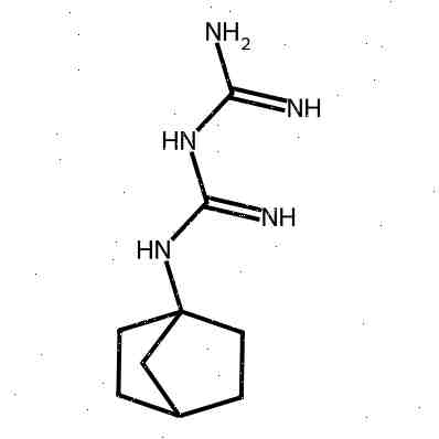 N=C(N)NC(=N)NC12CCC(CC1)C2